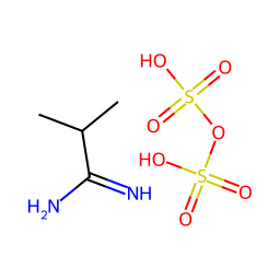 CC(C)C(=N)N.O=S(=O)(O)OS(=O)(=O)O